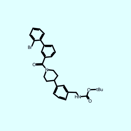 CC(C)(C)OC(=O)NCc1cccc(C2CCN(C(=O)c3cccc(-c4ccccc4Br)c3)CC2)c1